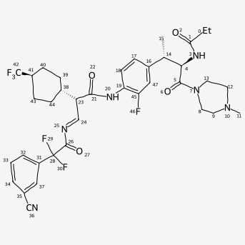 CCC(=O)N[C@@H](C(=O)N1CCN(C)CC1)[C@@H](C)c1ccc(NC(=O)C(C=NC(=O)C(F)(F)c2cccc(C#N)c2)[C@H]2CC[C@H](C(F)(F)F)CC2)c(F)c1